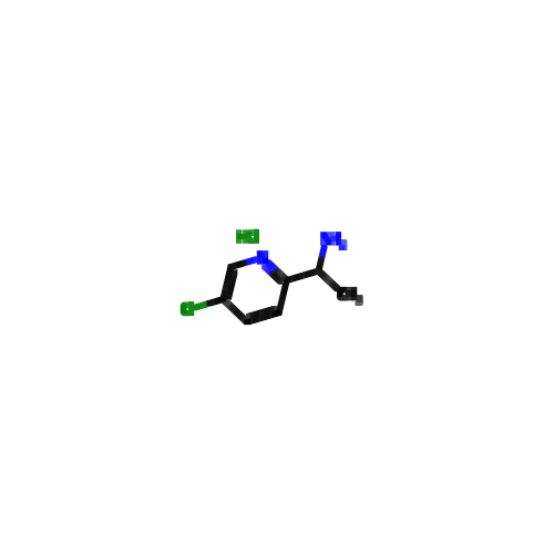 CC(N)c1ccc(Cl)cn1.Cl